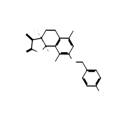 C=C1C(=O)O[C@H]2c3c(C)c(OCc4ccc(Cl)cc4)cc(C)c3CC[C@@H]12